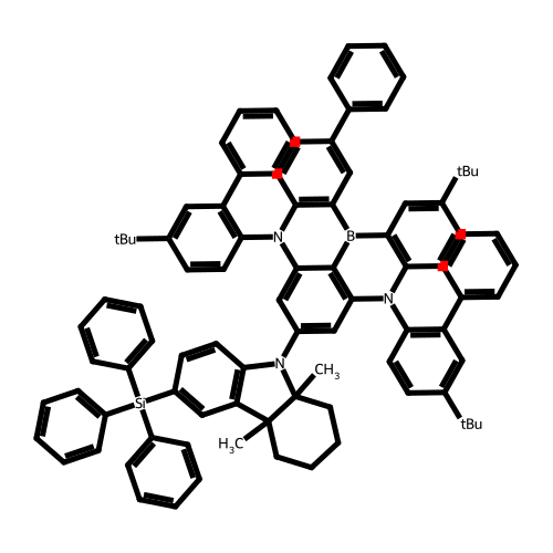 CC(C)(C)c1ccc2c(c1)B1c3cc(-c4ccccc4)ccc3N(c3ccc(C(C)(C)C)cc3-c3ccccc3)c3cc(N4c5ccc([Si](c6ccccc6)(c6ccccc6)c6ccccc6)cc5C5(C)CCCCC45C)cc(c31)N2c1ccc(C(C)(C)C)cc1-c1ccccc1